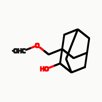 O=[C]OCC12CC3CC(CC(C3)C1O)C2